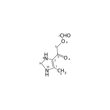 CC1=C(C(=O)COC=O)NCN1